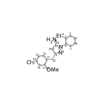 CCc1ccccc1-n1nc(Cc2ccc(Cl)cc2OC)cc1N